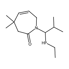 CCPC(C(C)C)N1CC=CC(C)(C)CC1=O